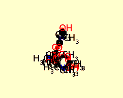 CC/C(=C(/CC)c1ccc(OC(=O)CCC(=O)O[C@@H]2C(N(C)C)C[C@@H](C)O[C@H]2O[C@@H]2[C@@H](C)C(=O)[C@@H](C)C(=O)O[C@H](CC)[C@@](C)(O)[C@H](O)[C@@H](C)N(C)C[C@H](C)C[C@@]2(C)O)cc1)c1ccc(O)cc1